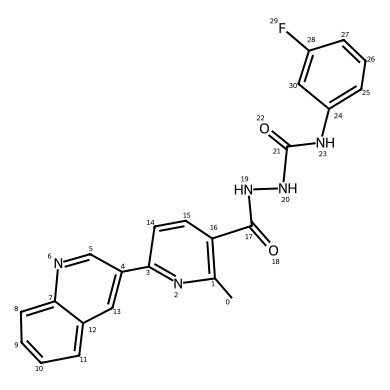 Cc1nc(-c2cnc3ccccc3c2)ccc1C(=O)NNC(=O)Nc1cccc(F)c1